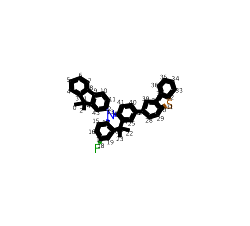 CC1(C)c2ccccc2-c2ccc(N3c4ccc(F)cc4C(C)(C)c4cc(-c5ccc6sc7ccccc7c6c5)ccc43)cc21